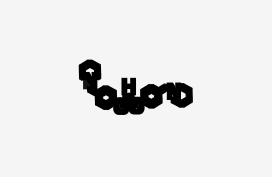 B(Oc1ccc(CN2CCCCC2)cc1)Oc1ccc(CN2CCCCC2)cc1